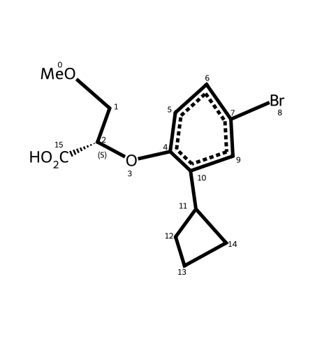 COC[C@H](Oc1ccc(Br)cc1C1CCC1)C(=O)O